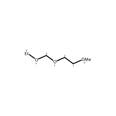 [CH2]OCCOCOCC